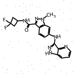 Cn1nc(C(=O)NC2CC(F)(F)C2)c2ccc(Nc3n[nH]c4cccnc34)cc21